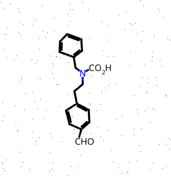 O=Cc1ccc(CCN(Cc2ccccc2)C(=O)O)cc1